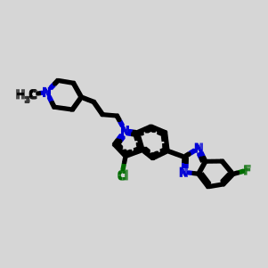 CN1CCC(CCCn2cc(Cl)c3cc(C4=NC5=CC=C(F)CC5=N4)ccc32)CC1